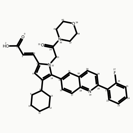 O=C(O)/C=C/c1cc(C2CCCCC2)c(-c2ccc3nc(-c4ccccc4F)ccc3c2)n1CC(=O)N1CCOCC1